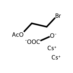 CC(=O)OCCBr.O=C([O-])[O-].[Cs+].[Cs+]